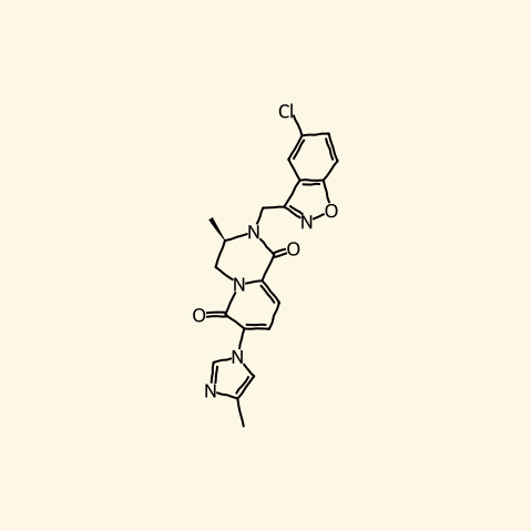 Cc1cn(-c2ccc3n(c2=O)C[C@@H](C)N(Cc2noc4ccc(Cl)cc24)C3=O)cn1